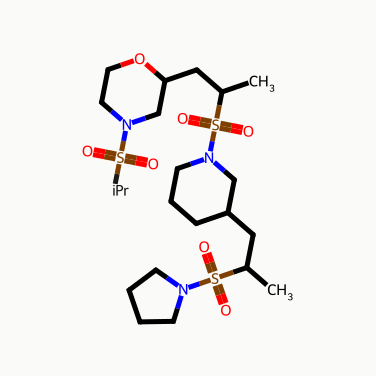 CC(C)S(=O)(=O)N1CCOC(CC(C)S(=O)(=O)N2CCCC(CC(C)S(=O)(=O)N3CCCC3)C2)C1